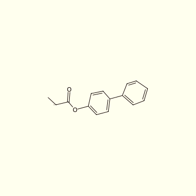 C[CH]C(=O)Oc1ccc(-c2ccccc2)cc1